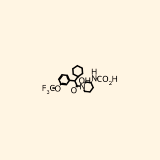 O=C(O)N[C@@H]1CCCN(C(=O)C(c2cccc(OC(F)(F)F)c2)C2(O)CCCCC2)C1